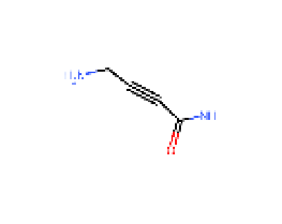 [NH]C(=O)C#CCN